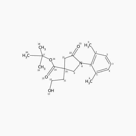 Cc1cccc(C)c1N1CC(CCO)(C(=O)OC(C)(C)C)CC1=O